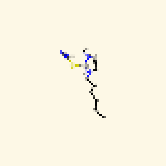 CCCCCCN1C=CN(C)C1SC#N